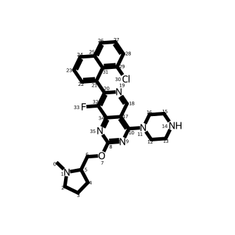 CN1CCCC1COc1nc(N2CCNCC2)c2cnc(-c3cccc4cccc(Cl)c34)c(F)c2n1